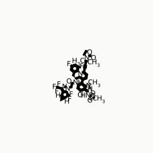 Cn1nc(NS(C)(=O)=O)c2c(Cl)ccc(-c3ccc(C#CC(C)(C)N4CCOC4=O)nc3[C@H](Cc3cc(F)cc(F)c3)NC(=O)Cn3nc(C(F)(F)F)c4c3C(F)(F)[C@@H]3C[C@H]43)c21